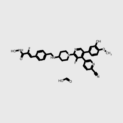 COc1ccc(-c2cnc(N3CCC(NCc4ccc(C=C(F)C(=O)NO)cc4)CC3)c(F)c2-c2ccc(C#N)nc2)cc1O.O=CO